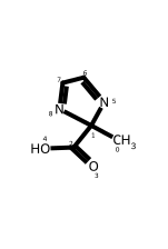 CC1(C(=O)O)N=CC=N1